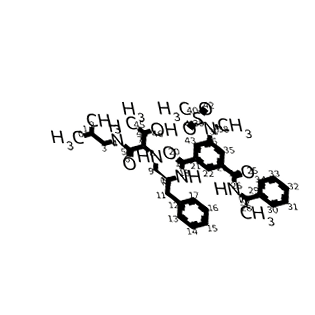 CC(C)CNC(=O)C(NC[C@H](Cc1ccccc1)NC(=O)c1cc(C(=O)N[C@H](C)c2ccccc2)cc(N(C)S(C)(=O)=O)c1)C(C)O